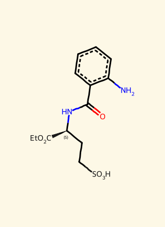 CCOC(=O)[C@H](CCS(=O)(=O)O)NC(=O)c1ccccc1N